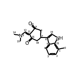 Cc1cccc2c(C3CC(=O)C(=CN(C)C)C(=O)C3)c[nH]c12